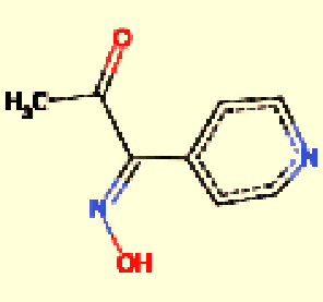 CC(=O)/C(=N/O)c1ccncc1